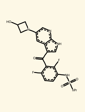 CCCS(=O)(=O)Nc1ccc(F)c(C(=O)c2c[nH]c3ncc(N4CC(O)C4)cc23)c1F